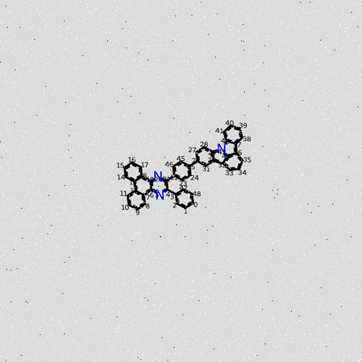 c1ccc(-c2nc3c4ccccc4c4ccccc4c3nc2-c2ccc(-c3ccc4c(c3)c3cccc5c6ccccc6n4c53)cc2)cc1